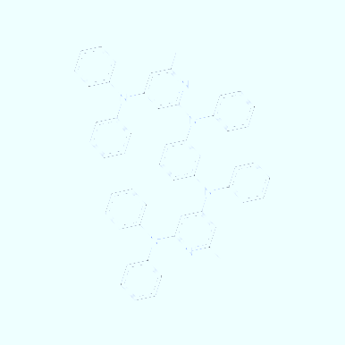 CCc1cc(N(c2ccccc2)c2ccccc2)cc(N(c2ccccc2)c2cccc(N(c3ccccc3)c3cc(C)nc(N(c4ccccc4)c4ccccc4)c3)c2)n1